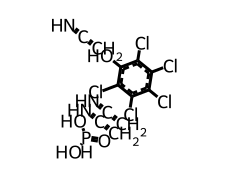 C=C=N.C=C=N.C=C=N.O=[PH](O)O.Oc1c(Cl)c(Cl)c(Cl)c(Cl)c1Cl